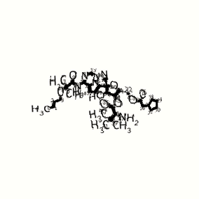 CCCCOC(C)(C)C(=O)Nc1ncnn2c([C@]3(C#N)O[C@H](COC(=O)CC4CCCC4)[C@@H](OC(=O)[C@H](N)C(C)(C)C)[C@H]3O)ccc12